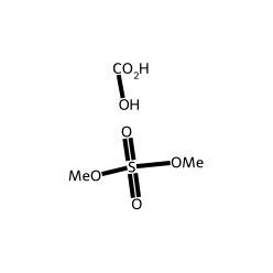 COS(=O)(=O)OC.O=C(O)O